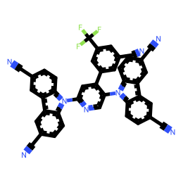 N#Cc1cc(-c2cc(-n3c4ccc(C#N)cc4c4cc(C#N)ccc43)ncc2-n2c3ccc(C#N)cc3c3cc(C#N)ccc32)cc(C(F)(F)F)c1